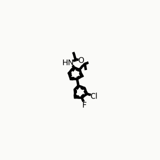 C[C]1Nc2ccc(-c3ccc(F)c(Cl)c3)cc2C(C)(C)O1